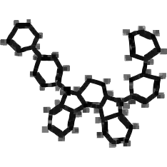 C1=CCC(c2ccc(N3c4ccccc4C4=C5c6ccccc6N(C6=CC=CC(c7ccccc7)C6)C5CCC43)cc2)C=C1